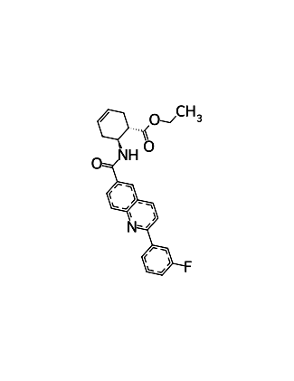 CCOC(=O)[C@H]1CC=CC[C@@H]1NC(=O)c1ccc2nc(-c3cccc(F)c3)ccc2c1